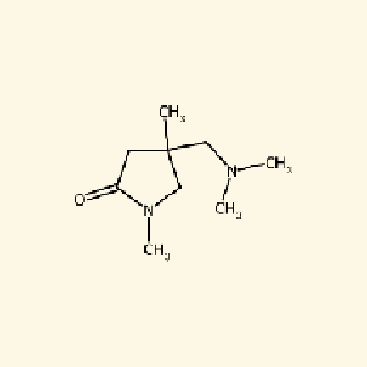 CN(C)CC1(C)CC(=O)N(C)C1